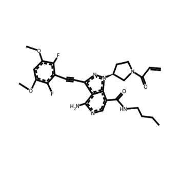 C=CC(=O)N1CC[C@H](n2nc(C#Cc3c(F)c(OC)cc(OC)c3F)c3c(N)ncc(C(=O)NCCCC)c32)C1